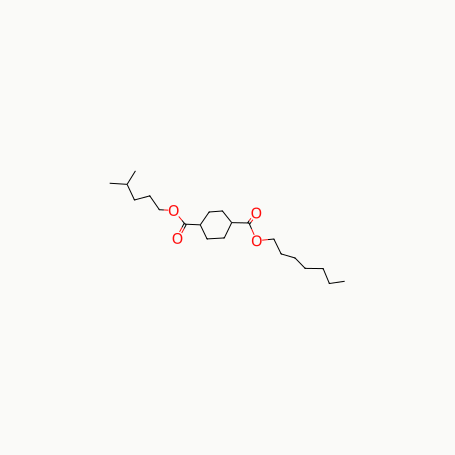 CCCCCCCOC(=O)C1CCC(C(=O)OCCCC(C)C)CC1